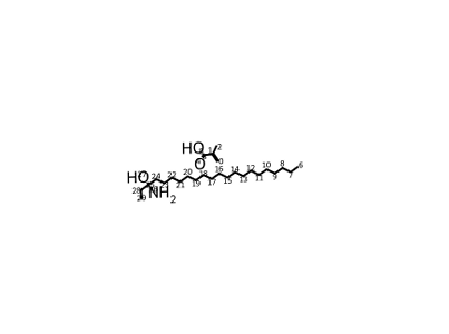 C=C(C)C(=O)O.CCCCCCCCCCCCCCCCCCCC(N)(O)CC